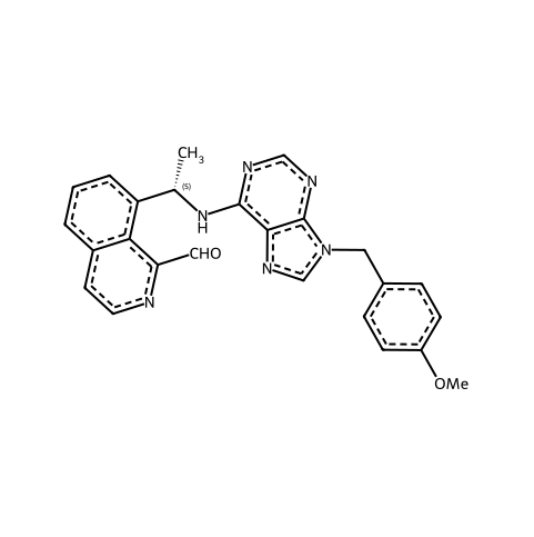 COc1ccc(Cn2cnc3c(N[C@@H](C)c4cccc5ccnc(C=O)c45)ncnc32)cc1